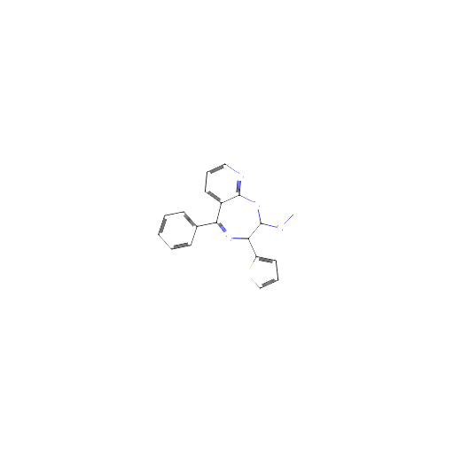 CNC1Nc2ncccc2C(c2ccccc2)=NC1c1cccs1